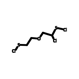 ClSCCOCC(Cl)SCl